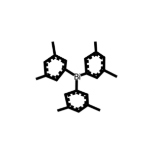 Cc1cc(C)c[c]([Bi]([c]2cc(C)cc(C)c2)[c]2cc(C)cc(C)c2)c1